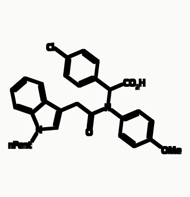 CCCCCn1cc(CC(=O)N(c2ccc(OC)cc2)C(C(=O)O)c2ccc(Cl)cc2)c2ccccc21